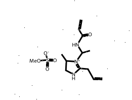 C=CCC1=[N+](C(C)NC(=O)C=C)C(C)CN1.COS(=O)(=O)[O-]